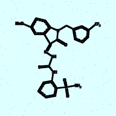 COc1ccc2c(c1)C(=NNC(=S)Nc1ccccc1S(N)(=O)=O)C(=O)N2Cc1cccc(C(F)(F)F)c1